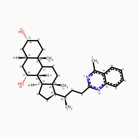 Cc1nc(CC[C@@H](C)[C@H]2CC[C@H]3[C@H]4C(CC[C@]23C)[C@@]2(C)CC[C@@H](O)C[C@H]2C[C@H]4O)nc2ccccc12